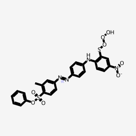 Cc1cc(/N=N/c2ccc(Nc3ccc([N+](=O)[O-])cc3SOOO)cc2)ccc1S(=O)(=O)Oc1ccccc1